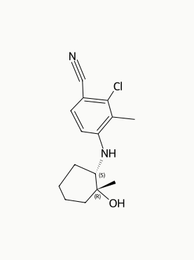 Cc1c(N[C@H]2CCCC[C@@]2(C)O)ccc(C#N)c1Cl